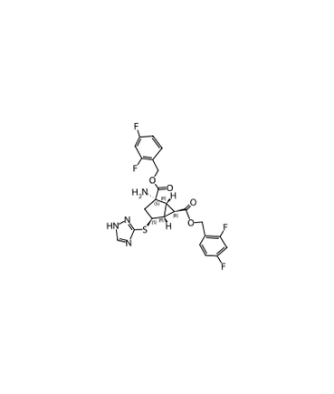 N[C@@]1(C(=O)OCc2ccc(F)cc2F)C[C@H](Sc2nc[nH]n2)[C@H]2[C@H](C(=O)OCc3ccc(F)cc3F)[C@H]21